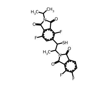 CC(C)N1C(=O)c2c(F)cc(C(S)C(C)N3C(=O)c4ccc(F)c(F)c4C3=O)c(F)c2C1=O